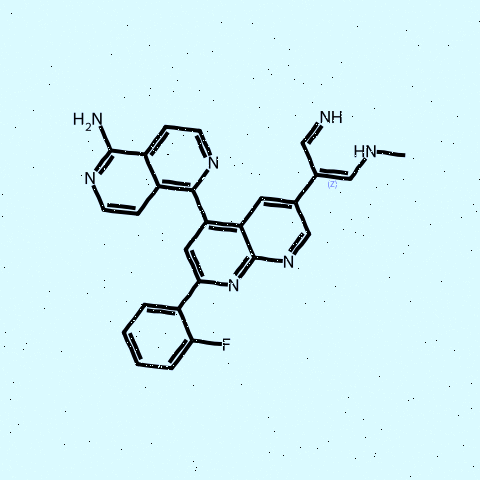 CN/C=C(\C=N)c1cnc2nc(-c3ccccc3F)cc(-c3nccc4c(N)nccc34)c2c1